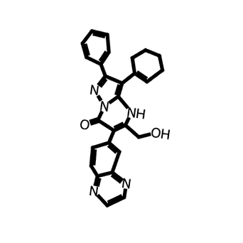 O=c1c(-c2ccc3nccnc3c2)c(CO)[nH]c2c(C3=CCCCC3)c(-c3ccccc3)nn12